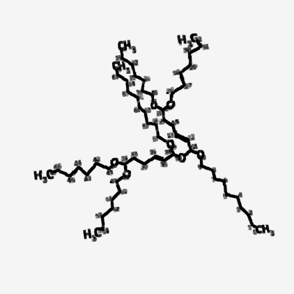 CCCCCCCCCCOC(C=CCCC(OCCCCCCC)OCCCCCCC)OC(C=CCCC(OCCCCCCC)OCCCCCCC)OCCCCCCCCCC